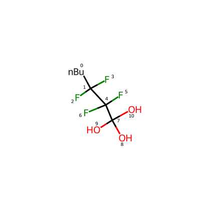 CCCCC(F)(F)C(F)(F)C(O)(O)O